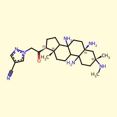 CN[C@]1(C)CCC2(N)C3CC[C@@]4(C)C(CC[C@@H]4C(=O)Cn4cc(C#N)cn4)C3(N)CC[C@]2(N)C1